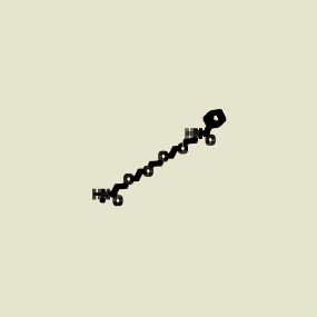 CNC(=O)CCOCCOCCOCCOCCNC(=O)C1CC2C=CC1C2